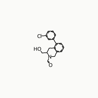 O=CN1Cc2cccc(-c3cccc(Cl)c3)c2CC1CO